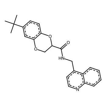 CC(C)(C)c1ccc2c(c1)OCC(C(=O)NCc1ccnc3ccccc13)O2